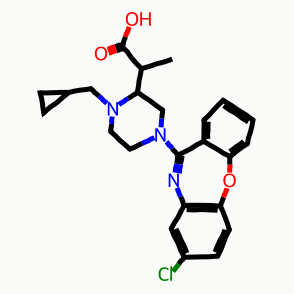 CC(C(=O)O)C1CN(C2=Nc3cc(Cl)ccc3Oc3ccccc32)CCN1CC1CC1